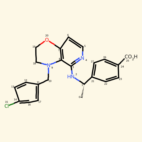 C[C@H](Nc1nccc2c1N(Cc1ccc(Cl)cc1)CCO2)c1ccc(C(=O)O)cc1